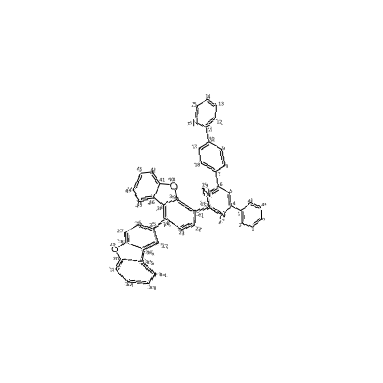 c1ccc(-c2cc(-c3ccc(-c4ccccn4)cc3)nc(-c3ccc(-c4ccc5oc6ccccc6c5c4)c4c3oc3ccccc34)n2)cc1